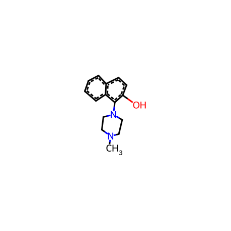 CN1CCN(c2c(O)ccc3ccccc23)CC1